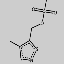 Cc1nnsc1COS(C)(=O)=O